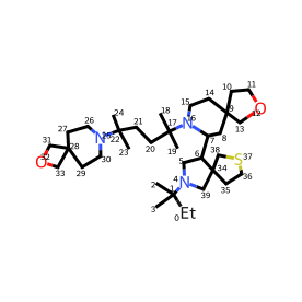 CCC(C)(C)N1CC(C2CC3(CCOC3)CCN2C(C)(C)CCC(C)(C)N2CCC3(CC2)COC3)C2(CCSC2)C1